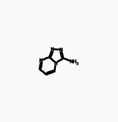 Nc1nnc2ncccn12